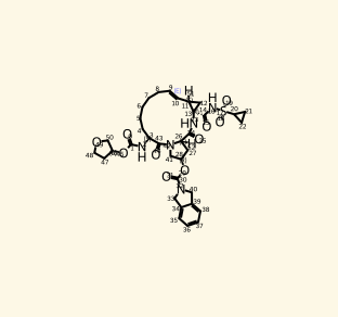 O=C(N[C@H]1CCCCC/C=C/[C@@H]2C[C@@]2(C(=O)NS(=O)(=O)C2CC2)NC(=O)[C@@H]2C[C@@H](OC(=O)N3Cc4ccccc4C3)CN2C1=O)O[C@H]1CCOC1